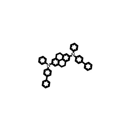 c1ccc(-c2ccc(N(c3ccccc3)c3cc4c5c(c3)CCc3cc(N(c6ccccc6)c6ccc(-c7ccccc7)cc6)cc(c3-5)CC4)cc2)cc1